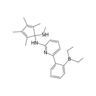 CCB(CC)c1ccccc1-c1cccc(NC2([SiH](C)C)C(C)=C(C)C(C)=C2C)n1